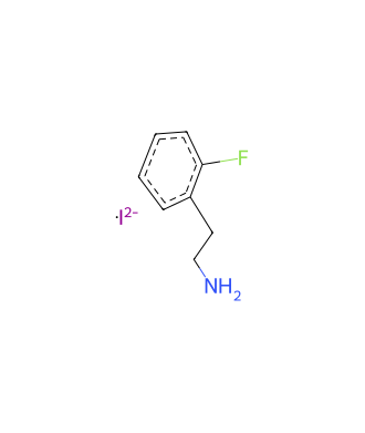 NCCc1ccccc1F.[I-2]